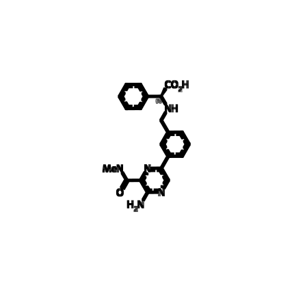 CNC(=O)c1nc(-c2cccc(CN[C@H](C(=O)O)c3ccccc3)c2)cnc1N